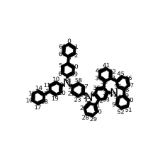 c1ccc(-c2ccc(N(c3ccc(-c4ccccc4)cc3)c3ccc(-n4c5ccccc5c5cc6c(cc54)-c4ccccc4-c4cccc5c7ccccc7n-6c45)cc3)cc2)cc1